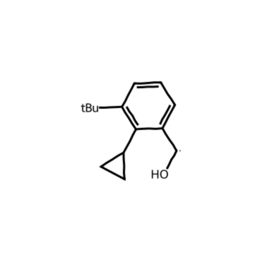 CC(C)(C)c1cccc([CH]O)c1C1CC1